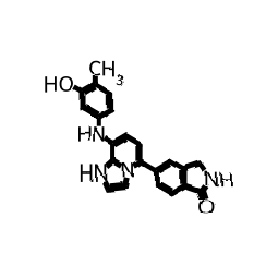 Cc1ccc(NC2=CC=C(c3ccc4c(c3)CNC4=O)N3C=CNC23)cc1O